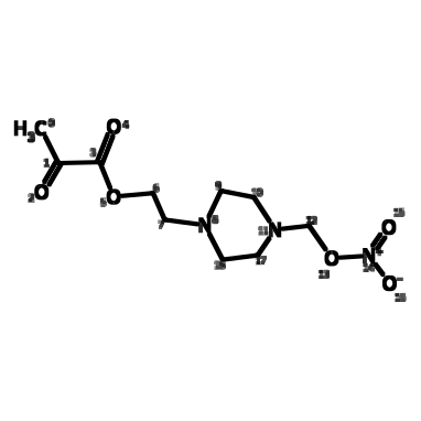 CC(=O)C(=O)OCCN1CCN(CO[N+](=O)[O-])CC1